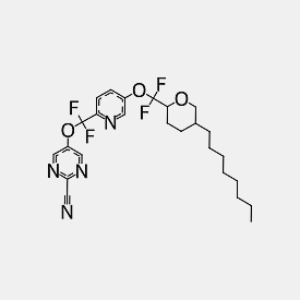 CCCCCCCCC1CCC(C(F)(F)Oc2ccc(C(F)(F)Oc3cnc(C#N)nc3)nc2)OC1